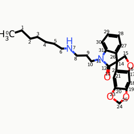 CCCCCCCNCCCN1C(=O)C2(COc3cc4c(cc32)OCO4)c2ccccc21